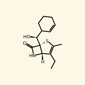 CCC1=C(C)S[C@@]2([C@@H](O)C3C=CCCC3)C(=O)N[C@@H]12